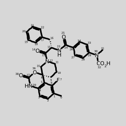 Cc1ccc2c(c1F)[C@@]1(CCCN(C(=O)[C@H](Cc3ccccc3)NC(=O)c3ccc(N(C)C(=O)O)cc3)C1)OC(=O)N2